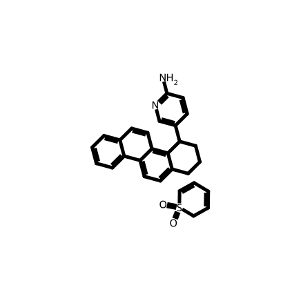 Nc1ccc(C2CCCc3ccc4c(ccc5ccccc54)c32)cn1.O=S1(=O)C=CC=CC1